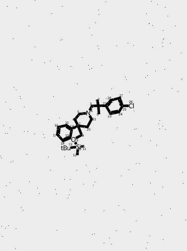 CC(C)(CN1CCC(CO[Si](C)(C)C(C)(C)C)(c2ccccc2)CC1)c1ccc(Cl)cc1